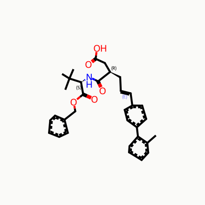 Cc1ccccc1-c1ccc(/C=C/C[C@H](CC(=O)O)C(=O)N[C@H](C(=O)OCc2ccccc2)C(C)(C)C)cc1